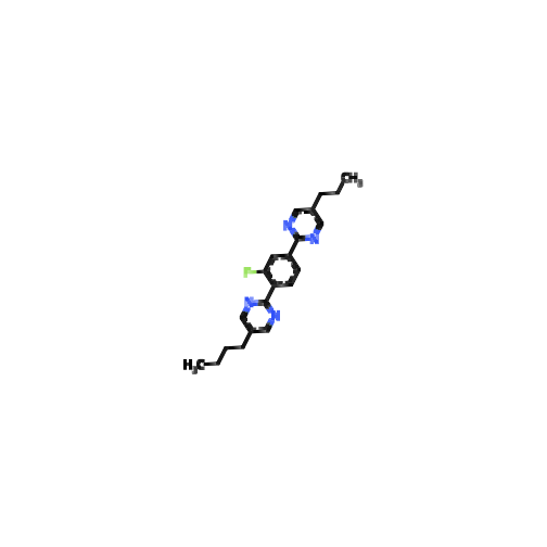 CCCCc1cnc(-c2ccc(-c3ncc(CCC)cn3)cc2F)nc1